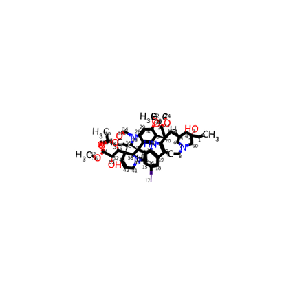 CC[C@]1(O)C[C@@H]2CN(CCc3c([nH]c4ccc(I)cc34)[C@@](C(=O)OC)(C3C=C4C(=CC3OC)N(C=O)C[C@]43CCN4CC=C[C@@](CC)([C@@H](OC(C)=O)[C@H](O)C(=O)OC)[C@H]43)C2)C1